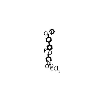 O=C(OC(Cl)(Cl)Cl)N1CCC(COc2ccc(C3=CCC(C(=O)N4CCCC4)CC3)cc2F)CC1